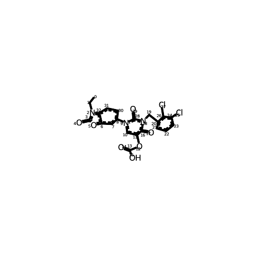 CCn1c(=O)oc2cc(-n3cc(OC(=O)O)c(=O)n(Cc4cccc(Cl)c4Cl)c3=O)ccc21